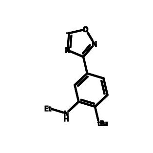 CCNc1cc(-c2n[c]on2)ccc1C(C)(C)C